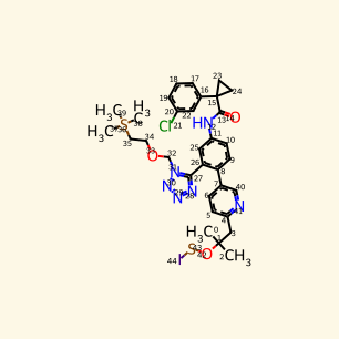 CC(C)(Cc1ccc(-c2ccc(NC(=O)C3(c4cccc(Cl)c4)CC3)cc2-c2nnnn2COCCS(C)(C)C)cn1)OSI